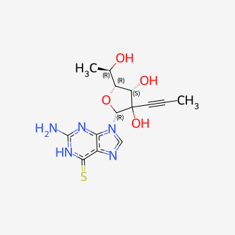 CC#CC1(O)[C@@H](O)[C@@H]([C@@H](C)O)O[C@H]1n1cnc2c(=S)[nH]c(N)nc21